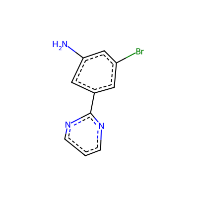 Nc1cc(Br)cc(-c2ncccn2)c1